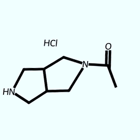 CC(=O)N1CC2CNCC2C1.Cl